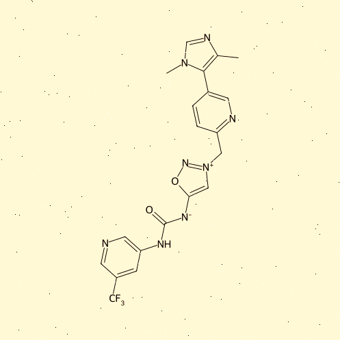 Cc1ncn(C)c1-c1ccc(C[n+]2cc([N-]C(=O)Nc3cncc(C(F)(F)F)c3)on2)nc1